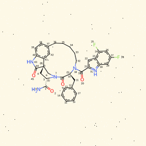 NC(=O)[C@@H]1C[C@]23CN1C(=O)[C@H](Cc1ccccc1)N(C(=O)c1cc4c(F)cc(F)cc4[nH]1)CCCCCc1ccc(c2c1)NC3=O